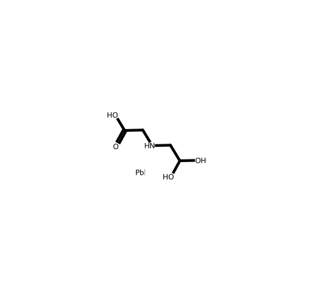 O=C(O)CNCC(O)O.[Pb]